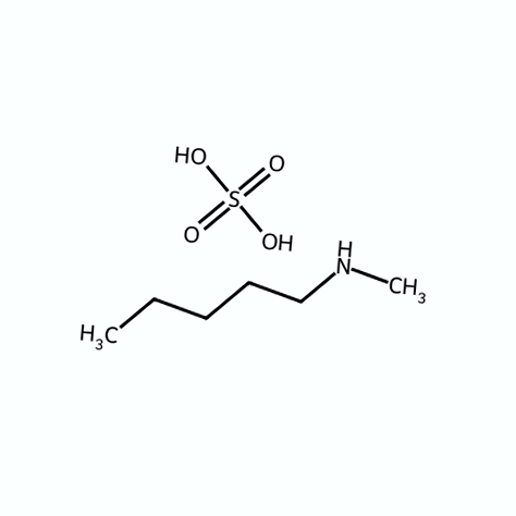 CCCCCNC.O=S(=O)(O)O